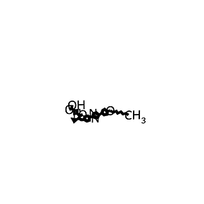 CCCCCCCOc1ccc(-c2cnc(-c3ccc(CC(C(=O)N4CC(C(=O)O)C4)C4CC4)cc3)nc2)cc1